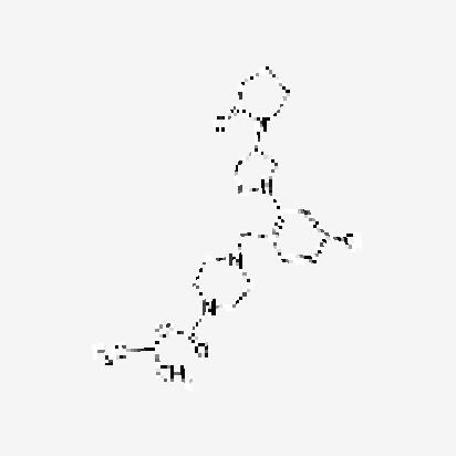 CC(OC(=O)N1CCN(Cc2ccc(Cl)cc2N2CC[C@@H](N3CCCCC3=O)C2)CC1)C(F)(F)F